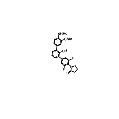 COc1cc(-c2cccc(-c3cc(F)c(N4CCCC4=O)c(F)c3)c2O)ccc1NC(C)=O